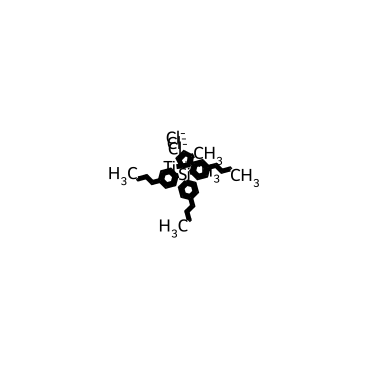 CCCCc1ccc([Si](c2ccc(CCCC)cc2)(c2ccc(CCCC)cc2)[C]2([Ti+3])C=CC(C)=C2C)cc1.[Cl-].[Cl-].[Cl-]